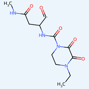 CCN1CCN(C(=O)NC([C]=O)CC(=O)NC)C(=O)C1=O